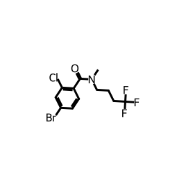 CN(CCCC(F)(F)F)C(=O)c1ccc(Br)cc1Cl